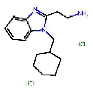 Cl.Cl.NCCc1nc2ccccc2n1CC1CCCCC1